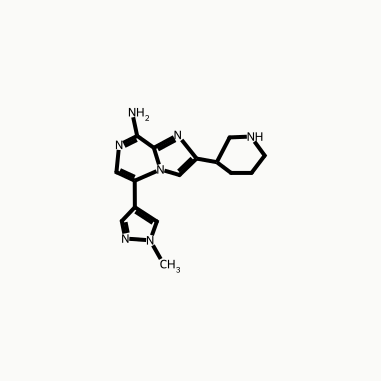 Cn1cc(-c2cnc(N)c3nc(C4CCCNC4)cn23)cn1